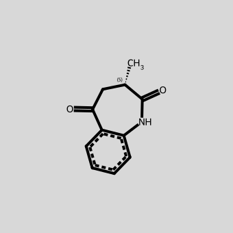 C[C@H]1CC(=O)c2ccccc2NC1=O